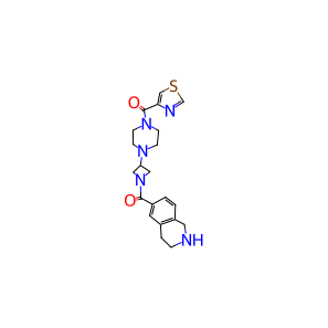 O=C(c1ccc2c(c1)CCNC2)N1CC(N2CCN(C(=O)c3cscn3)CC2)C1